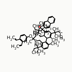 C=Cc1ccc(OC(C)(CC)PCc2c(C(C)(C)CC)ccc(C)c2C2C(C)=C(C(C)(C)CC)C=C(C(C)(C)CC)C2CPC(C)(CC)OC2=CC3C=CC=CC3C=C2)cc1C=C